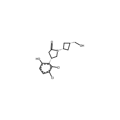 O=C1C[C@@H](c2c(O)ccc(Cl)c2Cl)CN1[C@H]1C[C@@H](CO)C1